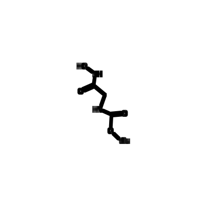 CC(C)(C)OC(=O)NCC(=O)NO